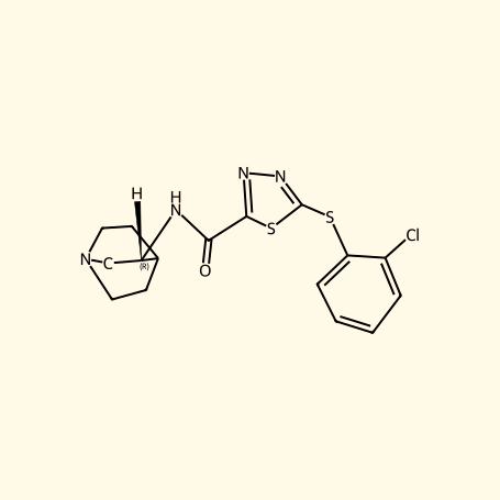 O=C(N[C@H]1CN2CCC1CC2)c1nnc(Sc2ccccc2Cl)s1